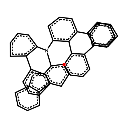 c1ccc(-c2ccccc2-c2c(-c3ccccc3)cccc2N(c2ccccc2-c2ccccc2)c2cccc3c2sc2ccccc23)cc1